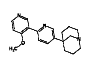 COc1ccncc1-c1ccc(C23CCCN(CCC2)C3)cn1